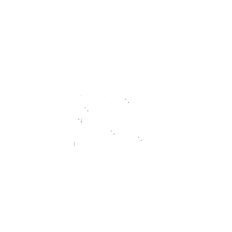 Cc1nn(C)c2c1Nc1ncccc1N(C(C)C)C2=O